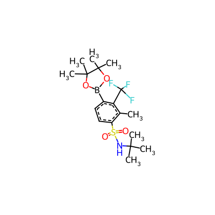 Cc1c(S(=O)(=O)NC(C)(C)C)ccc(B2OC(C)(C)C(C)(C)O2)c1C(F)(F)F